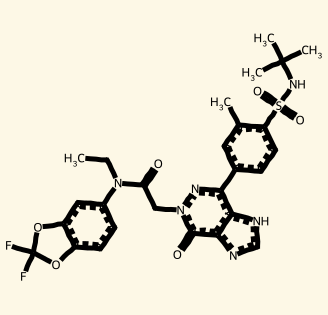 CCN(C(=O)Cn1nc(-c2ccc(S(=O)(=O)NC(C)(C)C)c(C)c2)c2[nH]cnc2c1=O)c1ccc2c(c1)OC(F)(F)O2